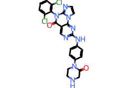 O=C1CNCCN1c1ccc(Nc2ncc3c(=O)n(-c4c(Cl)cccc4Cl)c4nccn4c3n2)cc1